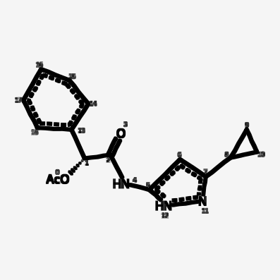 CC(=O)O[C@@H](C(=O)Nc1cc(C2CC2)n[nH]1)c1ccccc1